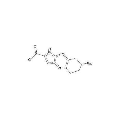 CC(C)(C)C1CCc2nc3cc(C(=O)Cl)[nH]c3cc2C1